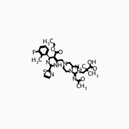 CCOC(=O)C1=C(CN2CCN3C(=NC(C)=O)N(CC(C)(C)C(=O)O)CC3C2)NC(c2nccs2)=N[C@H]1c1cccc(F)c1C